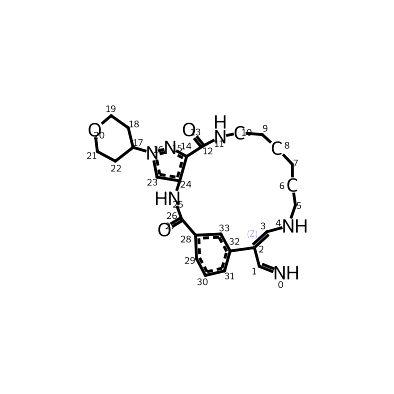 N=C/C1=C\NCCCCCCNC(=O)c2nn(C3CCOCC3)cc2NC(=O)c2cccc1c2